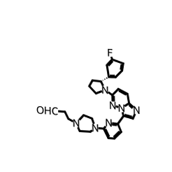 O=CCCN1CCN(c2cccc(-c3cnc4ccc(N5CCC[C@@H]5c5cccc(F)c5)nn34)n2)CC1